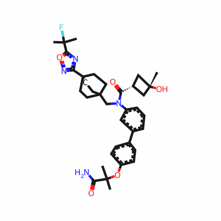 CC(C)(Oc1ccc(-c2cccc(N(CC34CCC(c5noc(C(C)(C)F)n5)(CC3)CC4)C(=O)[C@H]3C[C@@](C)(O)C3)c2)cc1)C(N)=O